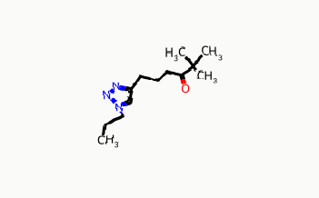 CCCn1cc(CCCC(=O)C(C)(C)C)nn1